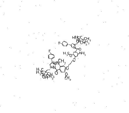 CNc1cc(OCCCOc2cc(N)c(C(=O)N3C=C(c4ccc(F)cc4)C[C@H]3CO[Si](C)(C)C(C)(C)C)cc2OC)c(OC)cc1C(=O)N1C=C(c2ccc(F)cc2)C[C@H]1CCC(C)(C)[Si](C)(C)O